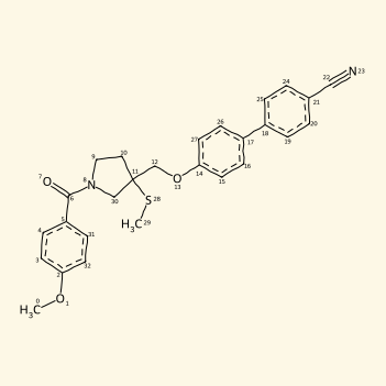 COc1ccc(C(=O)N2CCC(COc3ccc(-c4ccc(C#N)cc4)cc3)(SC)C2)cc1